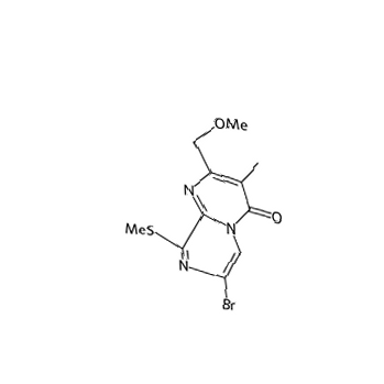 COCc1nc2c(SC)nc(Br)cn2c(=O)c1C